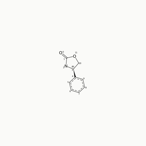 O=C1[N][C@H](c2ccccc2)CO1